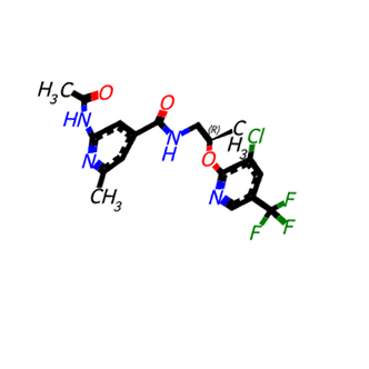 CC(=O)Nc1cc(C(=O)NC[C@@H](C)Oc2ncc(C(F)(F)F)cc2Cl)cc(C)n1